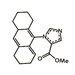 COC(=O)c1cncn1C1=C2CCCCC2C=C2CCCC=C21